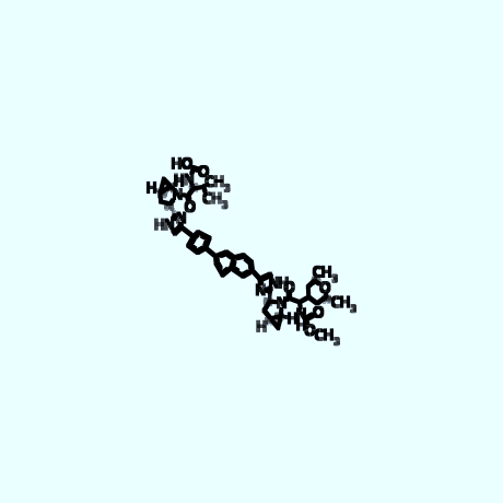 COC(=O)NC(C(=O)N1[C@@H]2C[C@H]2C[C@H]1c1nc(-c2ccc3cc(-c4ccc(-c5c[nH]c([C@@H]6C[C@H]7C[C@H]7N6C(=O)[C@@H](NC(=O)O)C(C)C)n5)cc4)ccc3c2)c[nH]1)C1C[C@@H](C)O[C@@H](C)C1